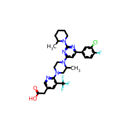 CC1CN(c2ncc(CC(=O)O)cc2C(F)(F)F)CCN1c1cc(-c2ccc(F)c(Cl)c2)nc(N2CCCCC2C)n1